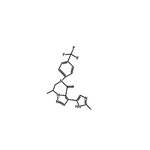 C=C1c2c(-c3cnc(C)[nH]3)cnn2C(C)CN1c1ccc(C(F)(F)F)cc1